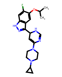 CC(C)Oc1cc2c(C3C=C(N4CCN(C5CC5)CC4)N=CN3)n[nH]c2cc1F